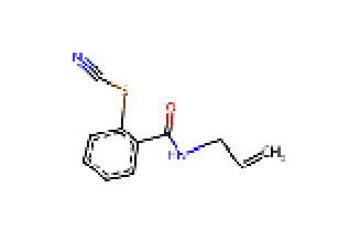 C=CCNC(=O)c1ccccc1SC#N